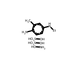 CCNc1ccc(N)c(C)c1.NO.O=S(=O)(O)O.O=S(=O)(O)O